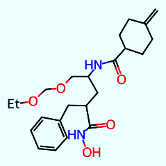 C=C1CCC(C(=O)NC(COCOCC)CC(Cc2ccccc2)C(=O)NO)CC1